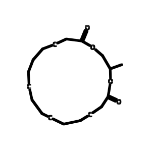 CC1COC(=O)CCCCCCCCCCCCCC(=O)O1